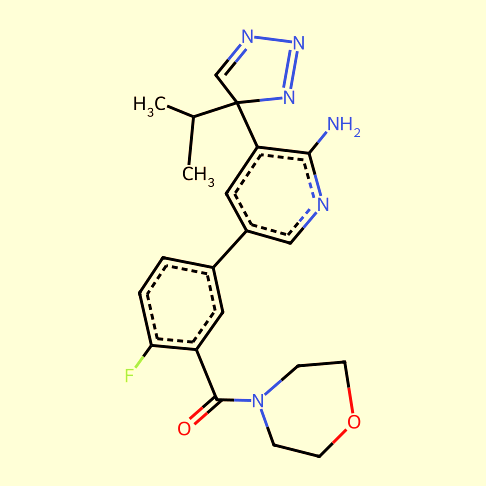 CC(C)C1(c2cc(-c3ccc(F)c(C(=O)N4CCOCC4)c3)cnc2N)C=NN=N1